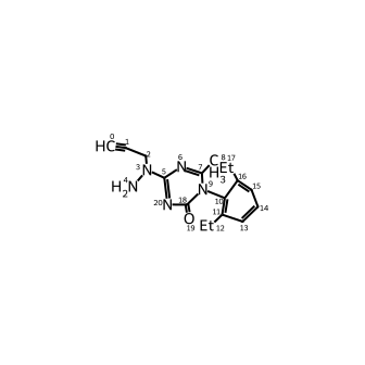 C#CCN(N)c1nc(C)n(-c2c(CC)cccc2CC)c(=O)n1